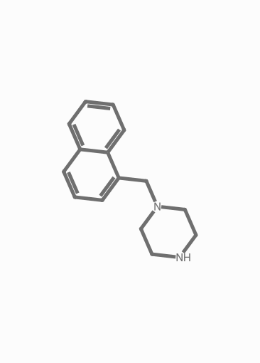 c1ccc2c(CN3CCNCC3)cccc2c1